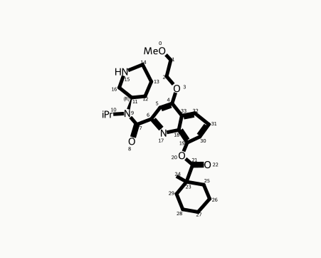 COCCOc1cc(C(=O)N(C(C)C)[C@@H]2CCCNC2)nc2c(OC(=O)C3(C)CCCCC3)cccc12